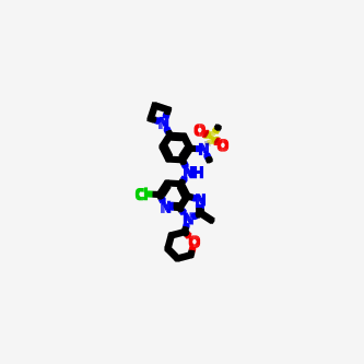 Cc1nc2c(Nc3ccc(N4CCC4)cc3N(C)S(C)(=O)=O)cc(Cl)nc2n1C1CCCCO1